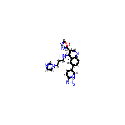 Nc1ccc(-c2ccc3ncc(-c4nnco4)c(NCCCn4ccnc4)c3c2)cn1